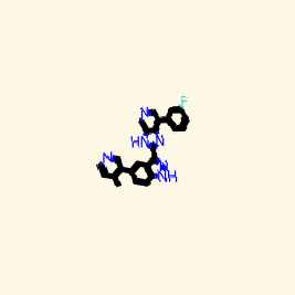 Cc1ccncc1-c1ccc2[nH]nc(-c3nc4c(-c5cccc(F)c5)cncc4[nH]3)c2c1